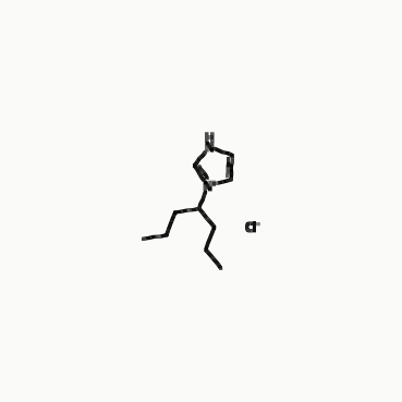 CCCC(CCC)[n+]1cc[nH]c1.[Cl-]